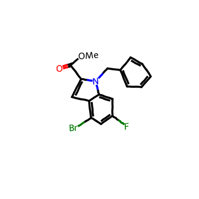 COC(=O)c1cc2c(Br)cc(F)cc2n1Cc1ccccc1